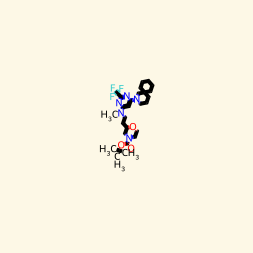 CN(CCC1CN(C(=O)OC(C)(C)C)CCO1)c1cc(N2CCCC3(CCCCC3)C2)nc(C(F)(F)F)n1